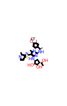 Cc1nc(N[C@H](C)c2ccc(OC(F)(F)F)cc2)nc(N[C@@H]2C[C@H](C(C)O)[C@@H](O)[C@H]2O)c1-c1nc2c(C)nccc2s1